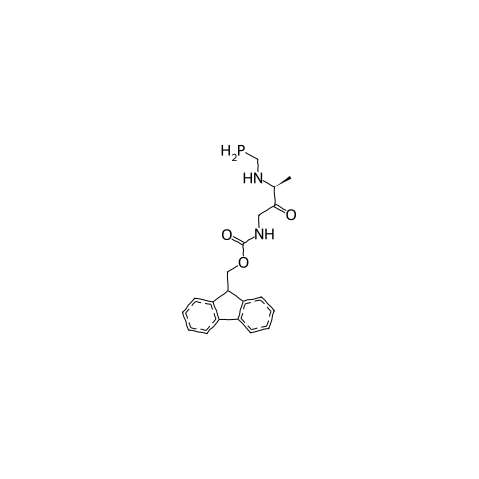 C[C@H](NCP)C(=O)CNC(=O)OCC1c2ccccc2-c2ccccc21